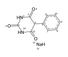 O=C1NC(=O)C(c2ccccc2)C(=O)N1.[NaH]